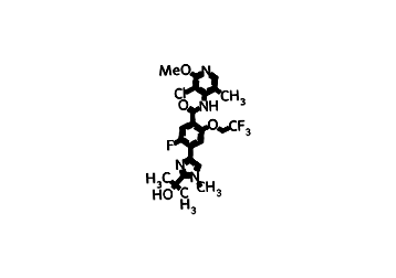 COc1ncc(C)c(NC(=O)c2cc(F)c(-c3cn(C)c(C(C)(C)O)n3)cc2OCC(F)(F)F)c1Cl